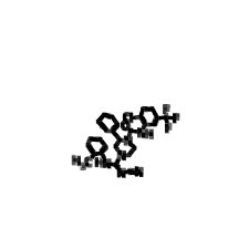 Cc1ccccc1N/C(=N/C#N)N1CCN(C(=O)Nc2cc(C(F)(F)F)ccc2Cl)C(c2ccccc2)C1